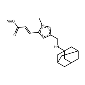 COC(=O)/C=C/c1cc(CNC23CC4CC(CC(C4)C2)C3)cn1C